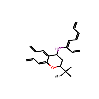 C=C/C=C\C=C(/C=C)PC1CC(C(C)(C)CCC)OC(=C/C=C)/C1=C\C=C